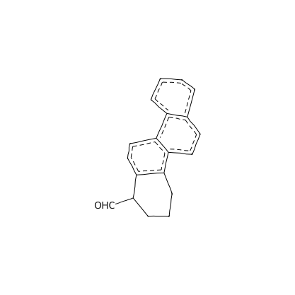 O=CC1CCCc2c1ccc1c2ccc2ccccc21